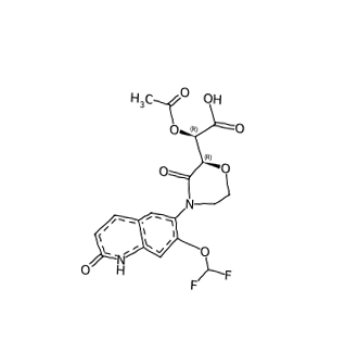 CC(=O)O[C@@H](C(=O)O)[C@H]1OCCN(c2cc3ccc(=O)[nH]c3cc2OC(F)F)C1=O